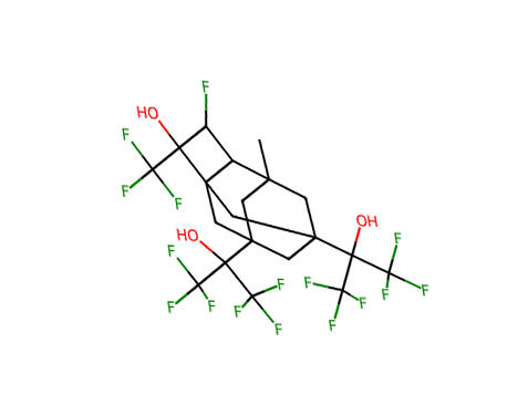 CC12CC3(C(O)(C(F)(F)F)C(F)(F)F)CC(C(O)(C(F)(F)F)C(F)(F)F)(C1)CC1(C3)C2C(F)C1(O)C(F)(F)F